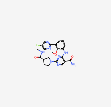 CNC(=O)[C@@H]1CCN(c2ncc(C(N)=O)c(Nc3cccc(-c4ncc(F)cn4)c3OC)n2)C1